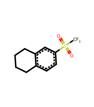 O=S(=O)(c1ccc2c(c1)C[CH]CC2)C(F)(F)F